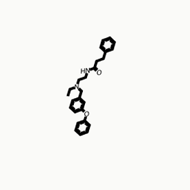 CCN(CCNC(=O)CCc1ccccc1)Cc1cccc(Oc2ccccc2)c1